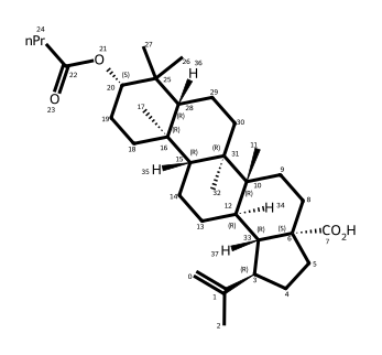 C=C(C)[C@@H]1CC[C@]2(C(=O)O)CC[C@]3(C)[C@H](CC[C@@H]4[C@@]5(C)CC[C@H](OC(=O)CCC)C(C)(C)[C@@H]5CC[C@]43C)[C@@H]12